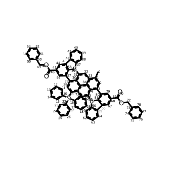 Cc1cc2c3c(cc4c([Si](c5ccccc5)(c5ccccc5)c5ccccc5)cc5c6c(cc1c3c46)B1c3ccccc3-c3cc(C(=O)OCc4ccccc4)cc-5c31)B1c3ccccc3-c3cc(C(=O)OCc4ccccc4)cc-2c31